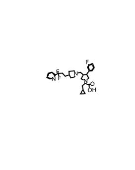 O=C(O)C(CC1CC1)N1CC(CN2CCC(CCC(F)(F)c3ccccn3)CC2)C(c2cccc(F)c2)C1